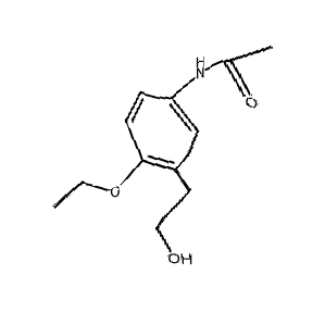 CCOc1ccc(NC(C)=O)cc1CCO